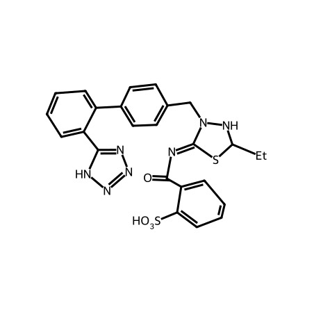 CCC1NN(Cc2ccc(-c3ccccc3-c3nnn[nH]3)cc2)C(=NC(=O)c2ccccc2S(=O)(=O)O)S1